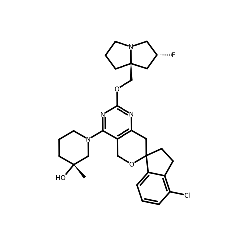 C[C@@]1(O)CCCN(c2nc(OC[C@@]34CCCN3C[C@H](F)C4)nc3c2COC2(CCc4c(Cl)cccc42)C3)C1